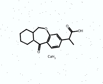 CC(C(=O)O)c1ccc2c(c1)OCC1CCCCC1C2=O.[CaH2]